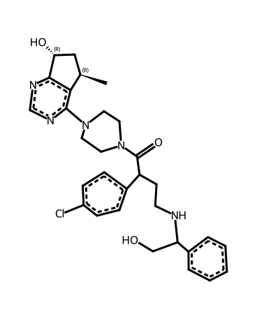 C[C@@H]1C[C@@H](O)c2ncnc(N3CCN(C(=O)C(CCNC(CO)c4ccccc4)c4ccc(Cl)cc4)CC3)c21